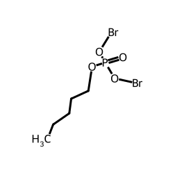 CCCCCOP(=O)(OBr)OBr